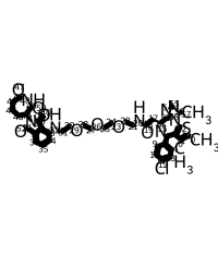 Cc1sc2c(c1C)C(c1ccc(Cl)cc1)=N[C@@H](CC(=O)NCCOCCOCCOCCNc1cccc3c1C(=O)N([C@H]1CCCC(=O)NC1=O)C3=O)c1nnc(C)n1-2